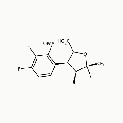 COc1c([C@H]2C(C(=O)O)O[C@@](C)(C(F)(F)F)[C@H]2C)ccc(F)c1F